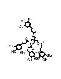 CC(C)(C)C1=CC(CCC(=O)OCC(COC(=O)CCc2cc(C(C)(C)C)c(O)c(C(C)(C)C)c2)(COC(=O)CCc2cc(C(C)(C)C)c(O)c(C(C)(C)C)c2)COC(=O)CCc2cc(C(C)(C)C)c(O)c(C(C)(C)C)c2)=CC(C(C)(C)C)C1O